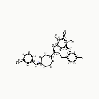 Cc1ccc(Cn2c(N3CCC/C(=C/c4cccc(Cl)c4)CC3)nc3c2c(=O)n(C)c(=O)n3C)cc1